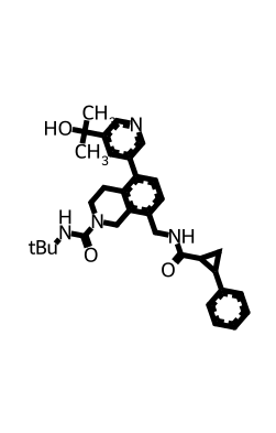 CC(C)(C)NC(=O)N1CCc2c(-c3cncc(C(C)(C)O)c3)ccc(CNC(=O)C3CC3c3ccccc3)c2C1